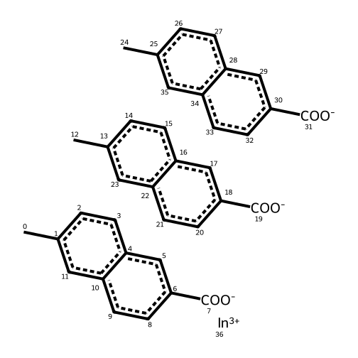 Cc1ccc2cc(C(=O)[O-])ccc2c1.Cc1ccc2cc(C(=O)[O-])ccc2c1.Cc1ccc2cc(C(=O)[O-])ccc2c1.[In+3]